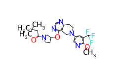 COc1ncc(N2CCc3ncnc(OC4CCN(C(=O)CC(C)(C)C)C4)c3C2)cc1C(F)(F)F